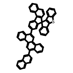 c1ccc2c(c1)-c1sc3ccccc3c1C21c2cc(-c3cc4c5ccccc5c(-c5ccc6ccccc6c5)cc4c4ccccc34)ccc2-c2c1ccc1ccccc21